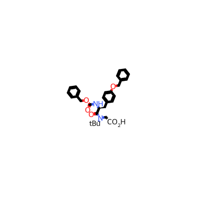 CC(C)(C)N(CC(=O)O)C(=O)[C@H](Cc1ccc(OCc2ccccc2)cc1)NC(=O)OCc1ccccc1